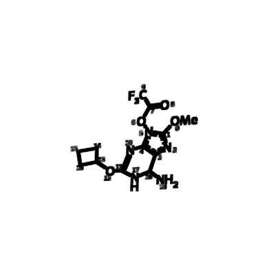 COc1nc2c(n1OC(=O)C(F)(F)F)N=C(OC1CCC1)NC2N